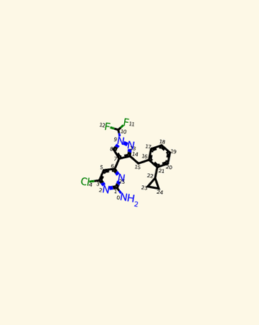 Nc1nc(Cl)cc(-c2cn(C(F)F)nc2Cc2ccccc2C2CC2)n1